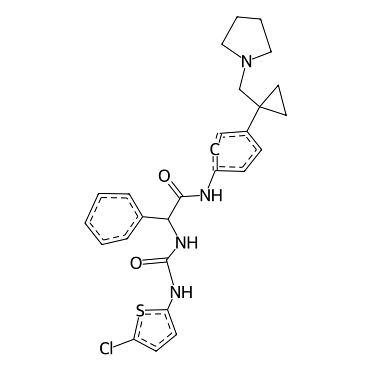 O=C(Nc1ccc(Cl)s1)NC(C(=O)Nc1ccc(C2(CN3CCCC3)CC2)cc1)c1ccccc1